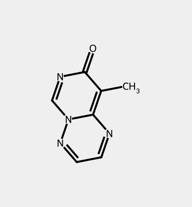 Cc1c(=O)ncn2nccnc12